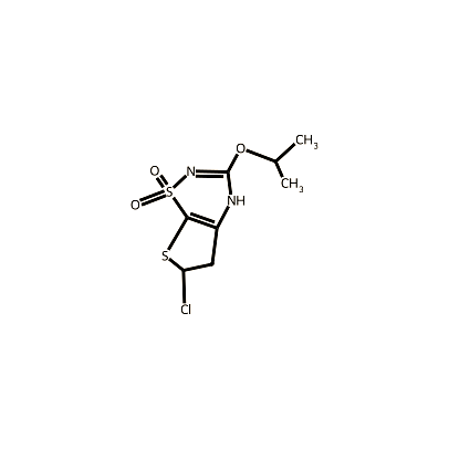 CC(C)OC1=NS(=O)(=O)C2=C(CC(Cl)S2)N1